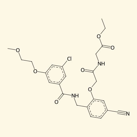 CCOC(=O)CNC(=O)COc1cc(C#N)ccc1CNC(=O)c1cc(Cl)cc(OCCOC)c1